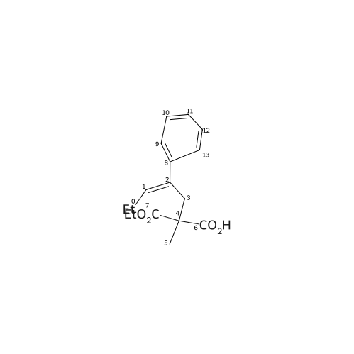 CCC=C(CC(C)(C(=O)O)C(=O)OCC)c1ccccc1